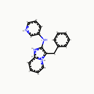 c1ccc(Cc2c(Nc3cccnc3)nc3ccccn23)cc1